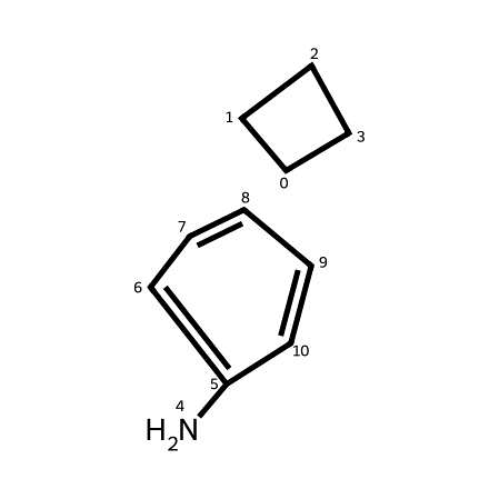 C1CCC1.Nc1ccccc1